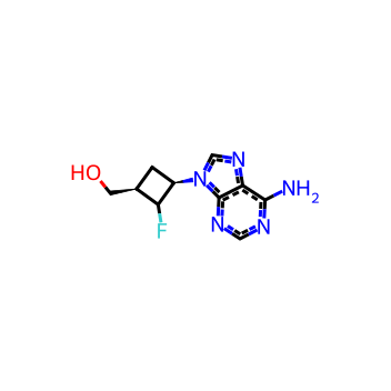 Nc1ncnc2c1ncn2[C@@H]1C[C@H](CO)C1F